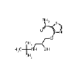 CC(C)(C)NCC(O)COc1ncsc1C(N)=O